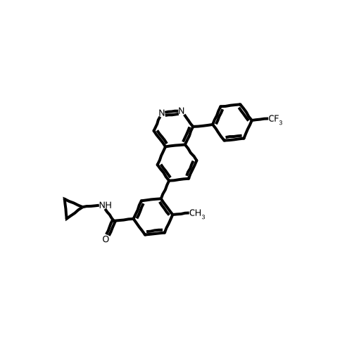 Cc1ccc(C(=O)NC2CC2)cc1-c1ccc2c(-c3ccc(C(F)(F)F)cc3)nncc2c1